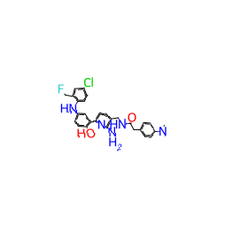 CN(C)c1ccc(CC(=O)NCc2ccc(-c3cc(Nc4ccc(Cl)cc4CF)ccc3O)nc2N)cc1